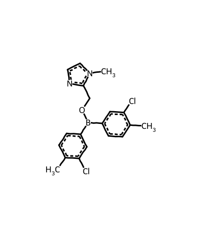 Cc1ccc(B(OCc2nccn2C)c2ccc(C)c(Cl)c2)cc1Cl